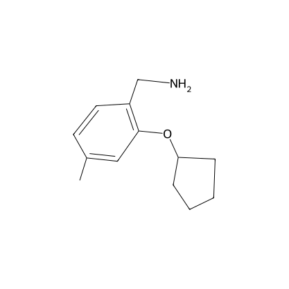 Cc1ccc(CN)c(OC2CCCC2)c1